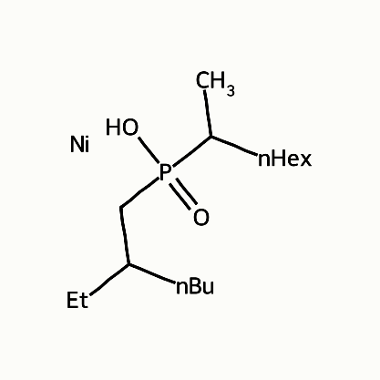 CCCCCCC(C)P(=O)(O)CC(CC)CCCC.[Ni]